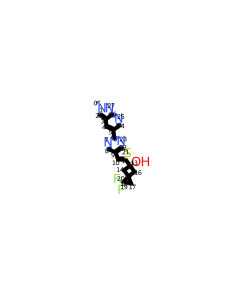 Cn1cc2cc(-c3ncc4cc(C5(O)CC6(C5)CC6(F)F)sc4n3)cnc2n1